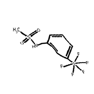 CS(=O)(=O)Nc1cccc(S(F)(F)(F)(F)F)c1